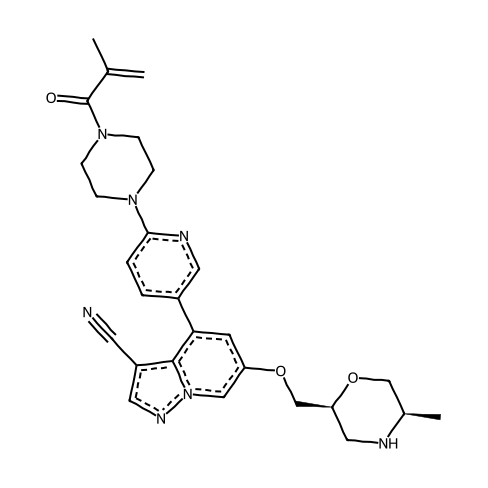 C=C(C)C(=O)N1CCN(c2ccc(-c3cc(OC[C@@H]4CN[C@H](C)CO4)cn4ncc(C#N)c34)cn2)CC1